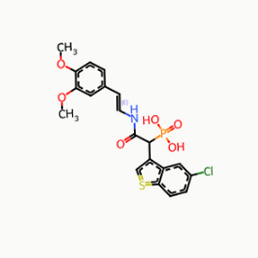 COc1ccc(/C=C/NC(=O)C(c2csc3ccc(Cl)cc23)P(=O)(O)O)cc1OC